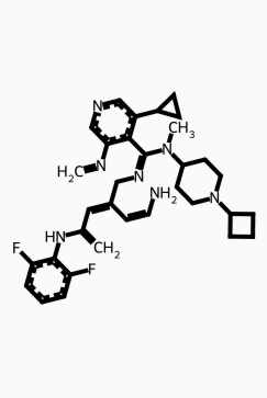 C=Nc1cncc(C2CC2)c1/C(=N\CC(/C=C\N)=C/C(=C)Nc1c(F)cccc1F)N(C)C1CCN(C2CCC2)CC1